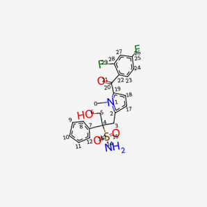 Cn1c(CC(CO)(c2ccccc2)S(N)(=O)=O)ccc1C(=O)c1ccc(F)cc1F